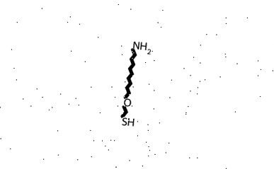 NCCCCCCCCCCCOCCCS